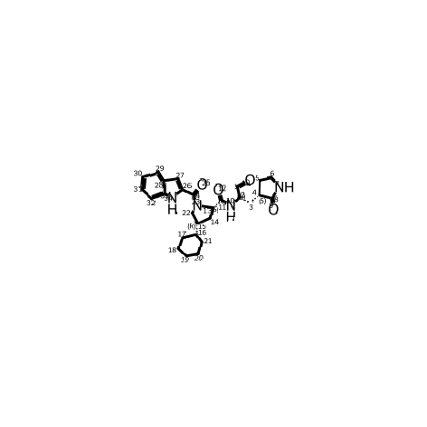 O=C[C@H](C[C@@H]1CCNC1=O)NC(=O)[C@@H]1C[C@H](C2CCCCC2)CN1C(=O)c1cc2ccccc2[nH]1